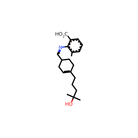 Cc1cccc(C(=O)O)c1/N=C\C1CC=C(CCCC(C)(C)O)CC1